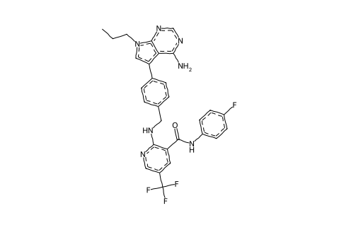 CCCn1cc(-c2ccc(CNc3ncc(C(F)(F)F)cc3C(=O)Nc3ccc(F)cc3)cc2)c2c(N)ncnc21